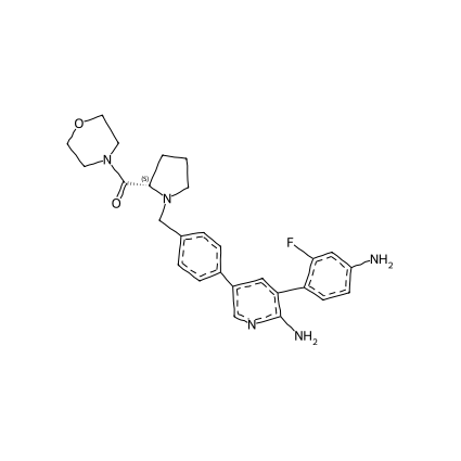 Nc1ccc(-c2cc(-c3ccc(CN4CCC[C@H]4C(=O)N4CCOCC4)cc3)cnc2N)c(F)c1